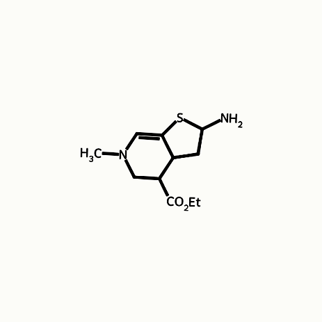 CCOC(=O)C1CN(C)C=C2SC(N)CC21